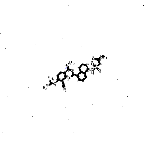 C=C(S/C(=N\C)c1ccc(OC(C)C)c(C#N)c1)c1cccc2c1CCC[C@@H]2NS(=O)(=O)CC(N)=O